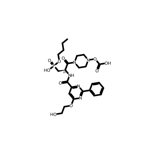 CCCCOP(=O)(O)C[C@H](NC(=O)c1cc(OCCO)nc(-c2ccccc2)n1)C(=O)N1CCN(OC(=O)O)CC1